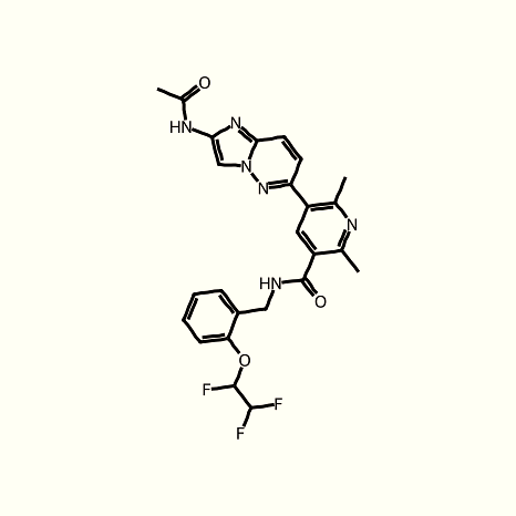 CC(=O)Nc1cn2nc(-c3cc(C(=O)NCc4ccccc4OC(F)C(F)F)c(C)nc3C)ccc2n1